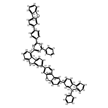 c1ccc(-c2nc(-c3ccc(-c4ccc5c(c4)oc4ccccc45)cc3)nc(-c3cccc4sc5cc(-c6ccc7c(c6)oc6ccc(-c8ccc9c%10ccccc%10n(-c%10ccccc%10)c9c8)cc67)ccc5c34)n2)cc1